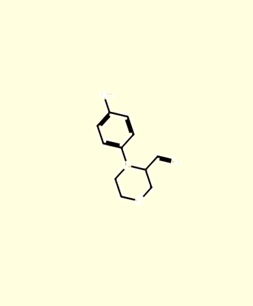 O=CC1COCCN1c1ccc(O)cc1